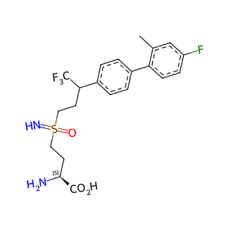 Cc1cc(F)ccc1-c1ccc(C(CCS(=N)(=O)CC[C@H](N)C(=O)O)C(F)(F)F)cc1